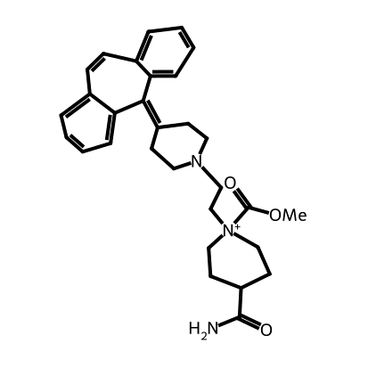 COC(=O)[N+]1(CCN2CCC(=C3c4ccccc4C=Cc4ccccc43)CC2)CCC(C(N)=O)CC1